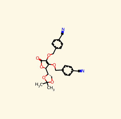 CC1(C)OC[C@@H]([C@H]2OC(=O)C(OCc3ccc(C#N)cc3)=C2OCc2ccc(C#N)cc2)O1